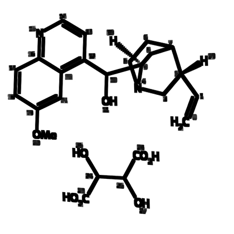 C=C[C@@H]1CN2CCC1C[C@@H]2C(O)c1ccnc2ccc(OC)cc12.O=C(O)C(O)C(O)C(=O)O